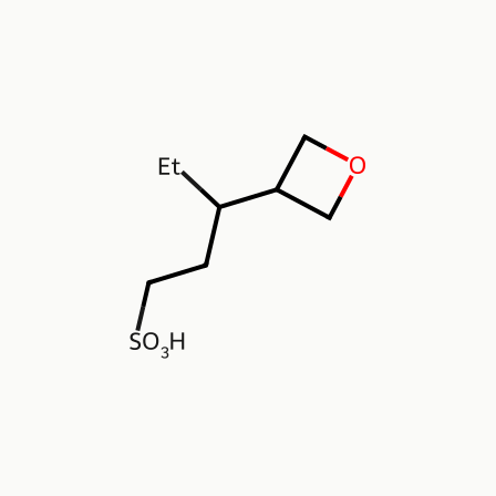 CCC(CCS(=O)(=O)O)C1COC1